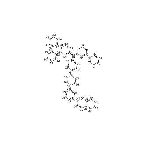 c1ccc(-c2cccc(N(c3ccc(-c4ccc(-c5cccc(-c6ccc7ccccc7c6)c5)cc4)cc3)c3ccc(-c4ccccc4-c4ccccc4)cc3)c2)cc1